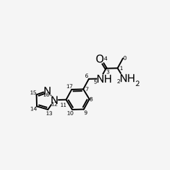 CC(N)C(=O)NCc1cccc(-n2cccn2)c1